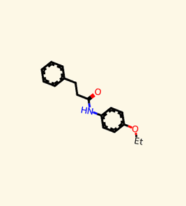 CCOc1ccc(NC(=O)CCc2ccccc2)cc1